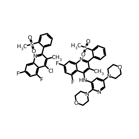 Cc1c(-c2ccccc2S(C)(=O)=O)nc2cc(F)cc(F)c2c1Cl.Cc1c(-c2ccccc2S(C)(=O)=O)nc2cc(F)cc(F)c2c1Nc1cc(N2CCOCC2)cnc1N1CCOCC1